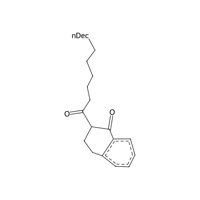 CCCCCCCCCCCCCCCC(=O)C1CCc2ccccc2C1=O